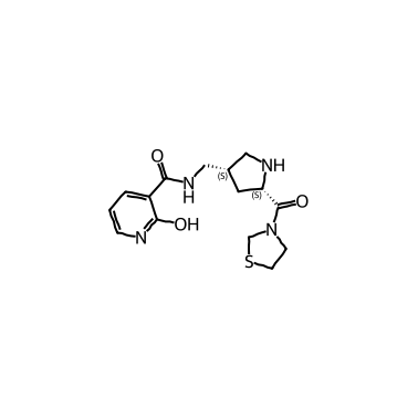 O=C(NC[C@@H]1CN[C@H](C(=O)N2CCSC2)C1)c1cccnc1O